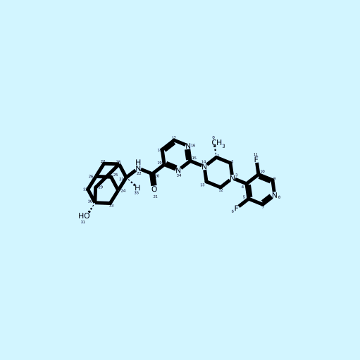 C[C@@H]1CN(c2c(F)cncc2F)CCN1c1nccc(C(=O)N[C@H]2C3CC4CC2C[C@](O)(C4)C3)n1